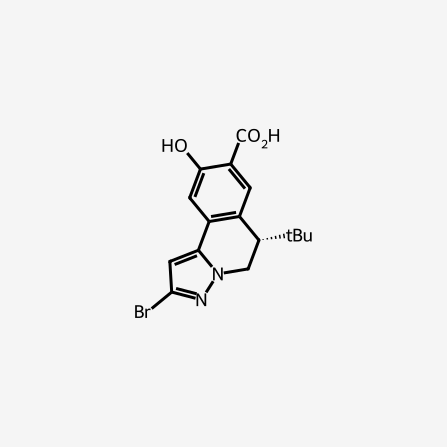 CC(C)(C)[C@@H]1Cn2nc(Br)cc2-c2cc(O)c(C(=O)O)cc21